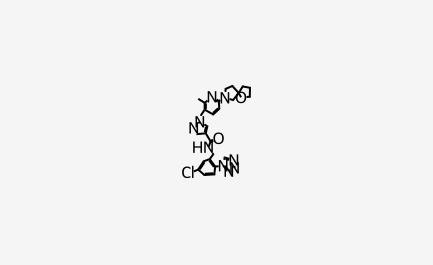 Cc1nc(N2CCC3(CCCO3)C2)ccc1Cn1cc(C(=O)NCc2cc(Cl)ccc2-n2cnnn2)cn1